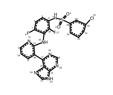 O=S(=O)(Nc1ccc(F)c(Nc2ncccc2-c2ncnc3[nH]cnc23)c1F)c1cccc(Cl)c1